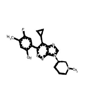 Cc1cc(O)c(-c2nnc3c(ncn3[C@@H]3CCCN(C)C3)c2C2CC2)cc1F